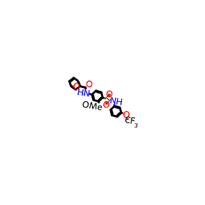 COc1cc(NC(=O)C2CC3C=CC2O3)ccc1S(=O)(=O)Nc1cccc(OC(F)(F)F)c1